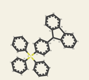 c1ccc(S(c2ccccc2)(c2ccccc2)c2ccc(C3c4ccccc4-c4ccccc43)cc2)cc1